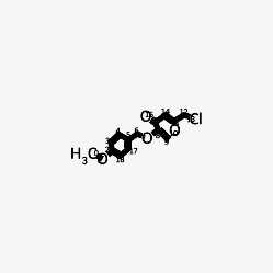 COc1ccc(COc2coc(CCl)cc2=O)cc1